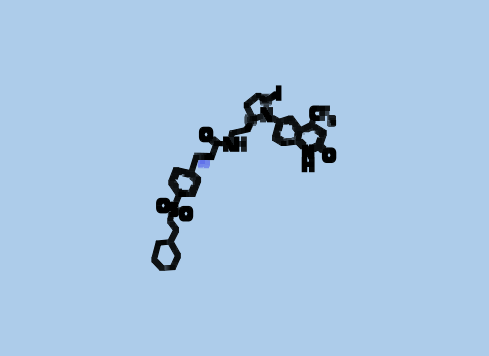 O=C(/C=C/c1ccc(S(=O)(=O)CCC2CCCCC2)cc1)NCC[C@H]1CC[C@@H](I)N1c1ccc2[nH]c(=O)cc(C(F)(F)F)c2c1